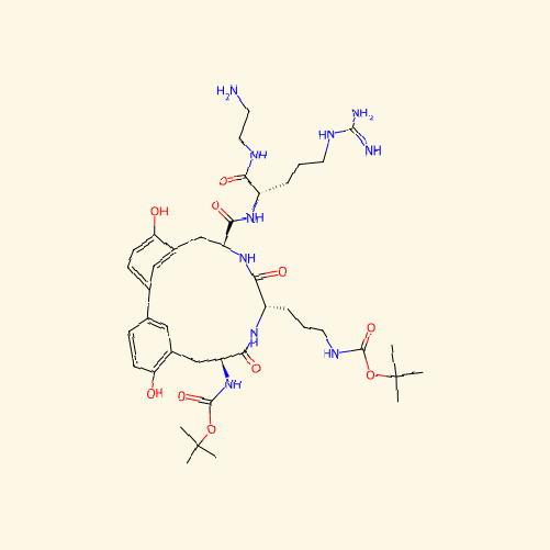 CC(C)(C)OC(=O)NCCC[C@@H]1NC(=O)[C@@H](NC(=O)OC(C)(C)C)Cc2cc(ccc2O)-c2ccc(O)c(c2)C[C@@H](C(=O)N[C@@H](CCCNC(=N)N)C(=O)NCCN)NC1=O